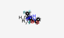 Cc1nc2c(C(C)(C)F)c(C(=O)N[C@H]3CCOc4ccccc43)cnn2c1-c1cc(F)cc(F)c1